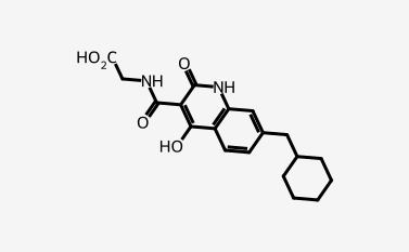 O=C(O)CNC(=O)c1c(O)c2ccc(CC3CCCCC3)cc2[nH]c1=O